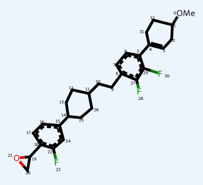 COC1CC=C(c2ccc(CCC3CCC(c4ccc(C5CO5)c(F)c4)CC3)c(F)c2F)CC1